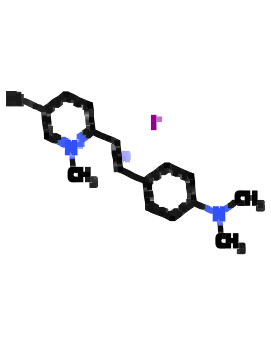 CCc1ccc(/C=C/c2ccc(N(C)C)cc2)[n+](C)c1.[I-]